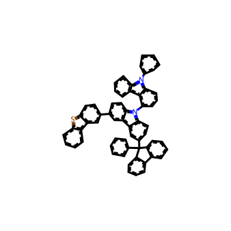 c1ccc(-n2c3ccccc3c3c(-n4c5ccc(-c6ccc7sc8ccccc8c7c6)cc5c5cc(C6(c7ccccc7)c7ccccc7-c7ccccc76)ccc54)cccc32)cc1